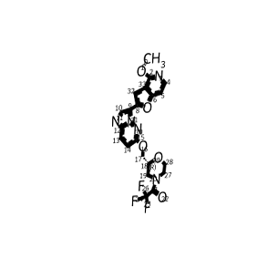 COc1nccc2oc(-c3cnc4ccc(OC[C@H]5CN(C(=O)C(F)(F)F)CCO5)nn34)cc12